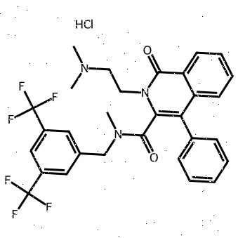 CN(C)CCn1c(C(=O)N(C)Cc2cc(C(F)(F)F)cc(C(F)(F)F)c2)c(-c2ccccc2)c2ccccc2c1=O.Cl